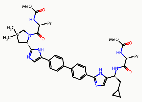 COC(=O)N[C@H](C(=O)N[C@@H](CC1CC1)c1cnc(-c2ccc(-c3ccc(-c4cnc([C@@H]5C[Si](C)(C)CN5C(=O)[C@@H](NC(=O)OC)C(C)C)[nH]4)cc3)cc2)[nH]1)C(C)C